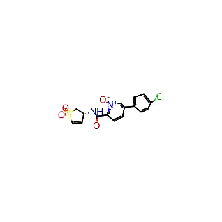 O=C(N[C@@H]1C=CS(=O)(=O)C1)c1ccc(-c2ccc(Cl)cc2)c[n+]1[O-]